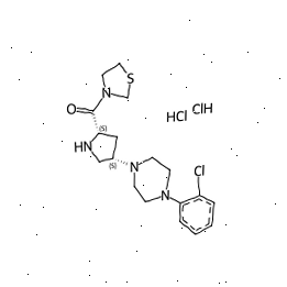 Cl.Cl.O=C([C@@H]1C[C@H](N2CCN(c3ccccc3Cl)CC2)CN1)N1CCSC1